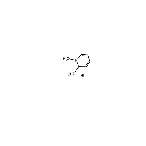 CN1C=CC=CC1C=O.I